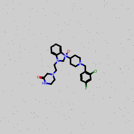 O=C1CN(CCN2C[N+]([O-])(C3CCN(Cc4ccc(F)cc4Cl)CC3)C3=CCCC=C32)CCN1